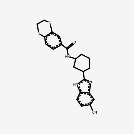 N#Cc1ccc2[nH]c(C3CCCC(NC(=O)c4ccc5c(c4)OCCO5)C3)nc2c1